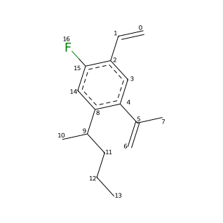 C=Cc1cc(C(=C)C)c(C(C)CCC)cc1F